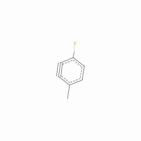 Cc1c#cc(F)cc1